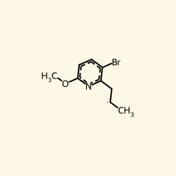 C[CH]Cc1nc(OC)ccc1Br